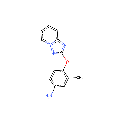 Cc1cc(N)ccc1Oc1nc2ccccn2n1